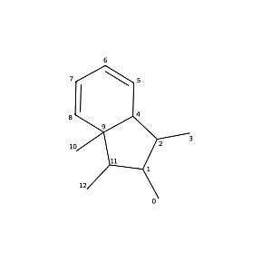 CC1C(C)C2C=CC=CC2(C)C1C